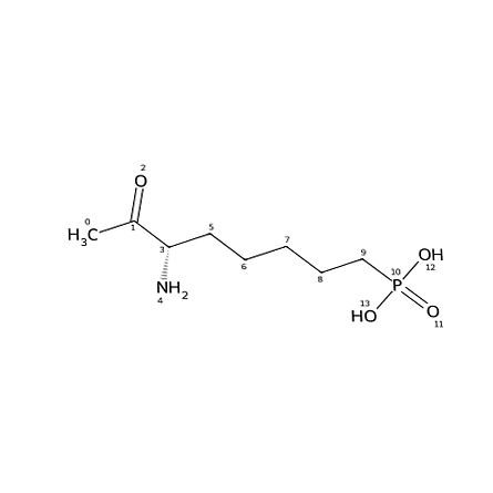 CC(=O)[C@@H](N)CCCCCP(=O)(O)O